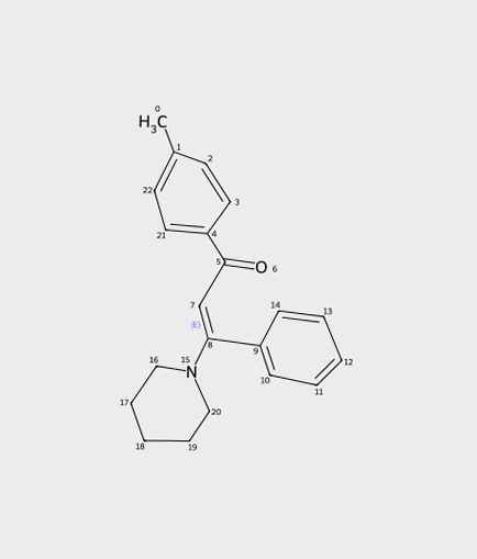 Cc1ccc(C(=O)/C=C(\c2ccccc2)N2CCCCC2)cc1